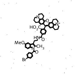 COc1ccc2c(c1)c(CCNC(=O)c1ccc(C3=c4cc5c6c(c4Oc4c3cc3c7c4CCCN7CCC3)CCC[N+]=6CCC5)c(C(=O)O)c1)c(C)n2C(=O)c1ccc(Br)cc1